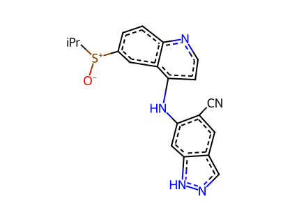 CC(C)[S+]([O-])c1ccc2nccc(Nc3cc4[nH]ncc4cc3C#N)c2c1